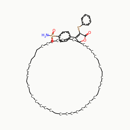 NS(=O)(=O)c1ccc(C2=C(Sc3ccccc3)C(=O)OC23CCCCCCCCCCCCCCCCCCCCCCCCCCCCCCCCCCCCCCCCC3)cc1